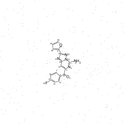 Nc1nc(C(=O)c2ccc(F)cc2)cc2nc(-c3ccco3)nn12